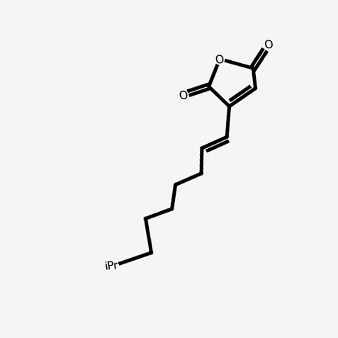 CC(C)CCCCCC=CC1=CC(=O)OC1=O